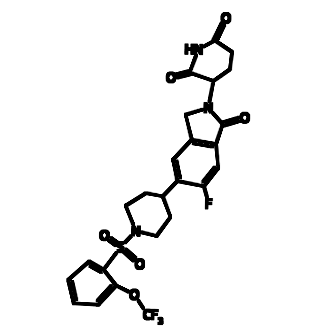 O=C1CCC(N2Cc3cc(C4CCN(S(=O)(=O)c5ccccc5OC(F)(F)F)CC4)c(F)cc3C2=O)C(=O)N1